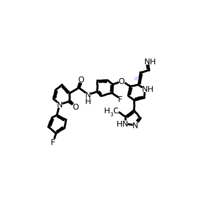 Cc1[nH]ncc1C1=CN/C(=C\C=N)C(Oc2ccc(NC(=O)c3cccn(-c4ccc(F)cc4)c3=O)cc2F)=C1